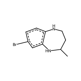 CC1CCNc2ccc(Br)cc2N1